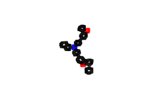 c1ccc(-c2cccc3c2oc2ccc(-c4ccc(N(c5ccc(-c6ccc7oc8ccccc8c7c6)cc5)c5ccc6ccccc6c5)cc4)cc23)cc1